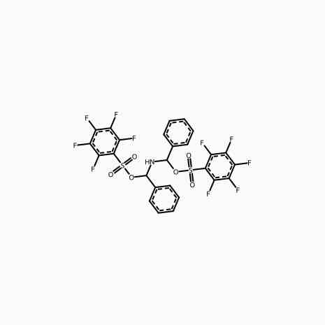 O=S(=O)(OC(NC(OS(=O)(=O)c1c(F)c(F)c(F)c(F)c1F)c1ccccc1)c1ccccc1)c1c(F)c(F)c(F)c(F)c1F